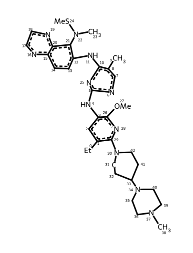 CCc1cc(Nc2ncc(C)c(Nc3ccc4nccnc4c3N(C)SC)n2)c(OC)nc1N1CCC(N2CCN(C)CC2)CC1